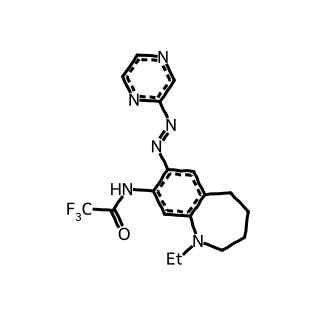 CCN1CCCCc2cc(N=Nc3cnccn3)c(NC(=O)C(F)(F)F)cc21